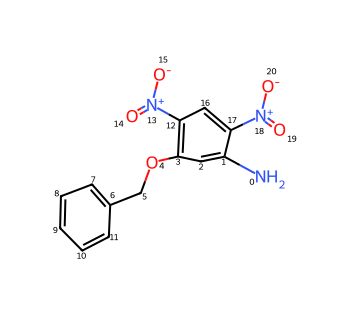 Nc1cc(OCc2ccccc2)c([N+](=O)[O-])cc1[N+](=O)[O-]